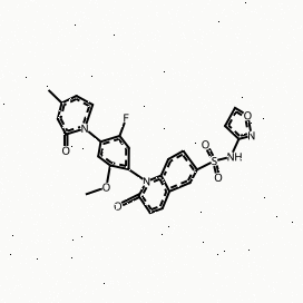 COc1cc(-n2ccc(C)cc2=O)c(F)cc1-n1c(=O)ccc2cc(S(=O)(=O)Nc3ccon3)ccc21